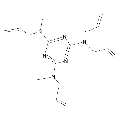 C=CCN(C)c1nc(N(C)CC=C)nc(N(CC=C)CC=C)n1